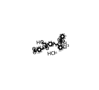 CN(C[C@@H](CCN1CCC(N(CCO)C(=O)OCc2ccc([N+](=O)[O-])cc2)CC1)c1cccc(Cl)c1)S(=O)(=O)c1ccccc1.Cl